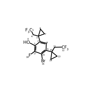 Oc1c(C2(CC(F)(F)F)CC2)cc(C2(CC(F)(F)F)CC2)c(Br)c1F